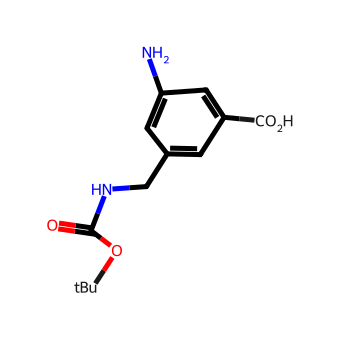 CC(C)(C)OC(=O)NCc1cc(N)cc(C(=O)O)c1